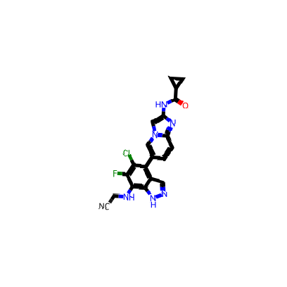 N#CCNc1c(F)c(Cl)c(-c2ccc3nc(NC(=O)C4CC4)cn3c2)c2cn[nH]c12